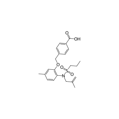 C=C(C)CN(c1ccc(C)cc1OCc1ccc(C(=O)O)cc1)S(=O)(=O)CCC